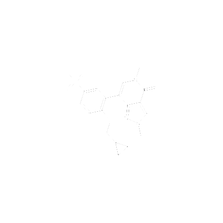 Cn1cc2c(=O)n(C)cc(-c3cc(S(C)(=O)=O)ccc3OCC3CC3)c2n1